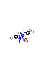 Cc1cccc(Nc2nc(N3CCOCC3)c3nc(Nc4cccc(C)c4)n(C)c3n2)c1